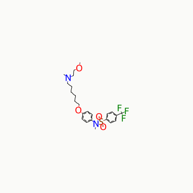 COCCN(C)CCCCCCOc1ccc(N(C)S(=O)(=O)c2ccc(C(F)(F)F)cc2)cc1